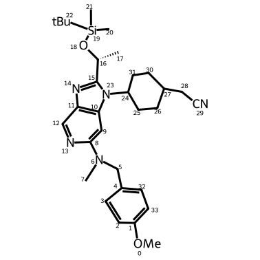 COc1ccc(CN(C)c2cc3c(cn2)nc([C@@H](C)O[Si](C)(C)C(C)(C)C)n3C2CCC(CC#N)CC2)cc1